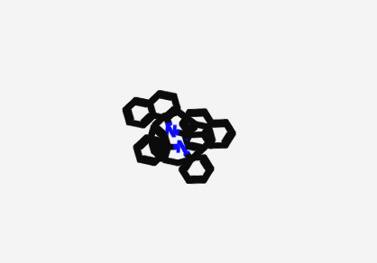 c1ccc(N(c2cc3ccc2CCc2ccc(c(N(c4ccccc4)c4cccc5ccccc45)c2)CC3)c2cccc3ccccc23)cc1